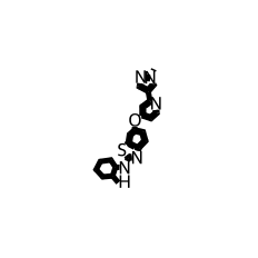 CC1CCCCC1Nc1nc2ccc(Oc3ccnc(-c4cnn(C)c4)c3)cc2s1